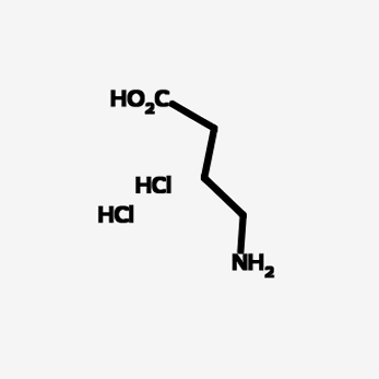 Cl.Cl.NCCCC(=O)O